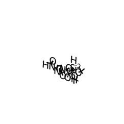 CC(=O)Nc1ccn([C@@H]2O[C@@]3([SiH2]C3OC(C)(C)C)[C@@H](OC(C)(C)C)[C@H]2O)c(=O)n1